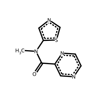 CN(C(=O)c1cnccn1)c1cncs1